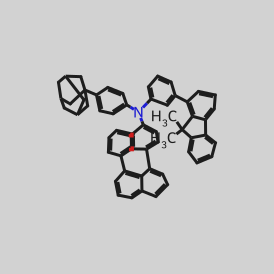 CC1(C)c2ccccc2-c2cccc(-c3cccc(N(c4ccc(-c5cccc6cccc(-c7ccccc7)c56)cc4)c4ccc(C56CC7CC(CC(C7)C5)C6)cc4)c3)c21